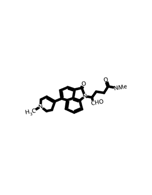 CNC(=O)CCC(C=O)N1C(=O)c2ccc(C3=CCN(C)CC3)c3cccc1c23